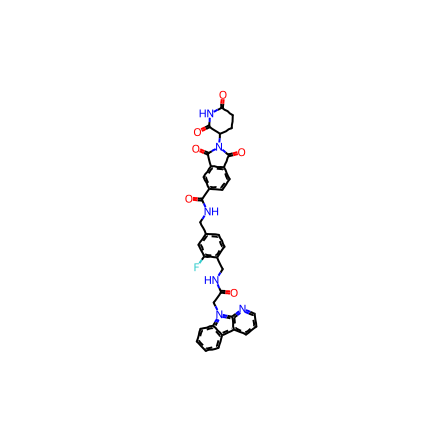 O=C(Cn1c2ccccc2c2cccnc21)NCc1ccc(CNC(=O)c2ccc3c(c2)C(=O)N(C2CCC(=O)NC2=O)C3=O)cc1F